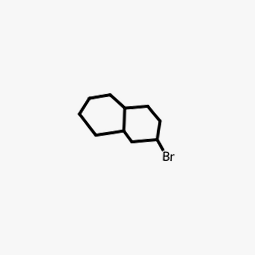 BrC1CCC2CCCCC2C1